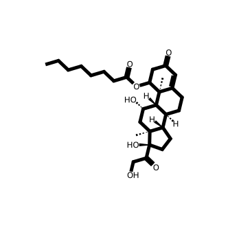 CCCCCCCC(=O)OC1CC(=O)C=C2CC[C@@H]3[C@H]([C@@H](O)C[C@@]4(C)[C@H]3CC[C@]4(O)C(=O)CO)[C@]21C